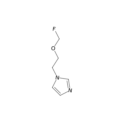 FCOCCn1ccnc1